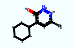 CCc1cc(C2CCCCC2)c(=O)[nH]n1